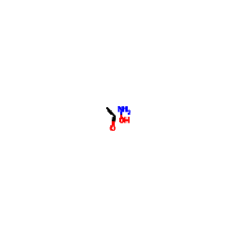 CC=O.NO